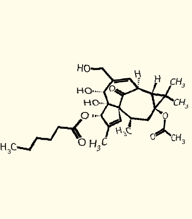 CCCCCC(=O)O[C@H]1C(C)=C[C@]23C(=O)[C@@H](C=C(CO)[C@@H](O)[C@]12O)[C@@H]1C(C)(C)[C@]1(OC(C)=O)C[C@H]3C